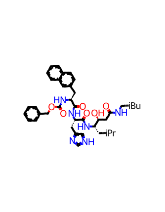 CCC(C)CNC(=O)C[C@H](O)[C@H](CC(C)C)NC(=O)[C@H](Cc1c[nH]cn1)NC(=O)[C@H](Cc1ccc2ccccc2c1)NC(=O)OCc1ccccc1